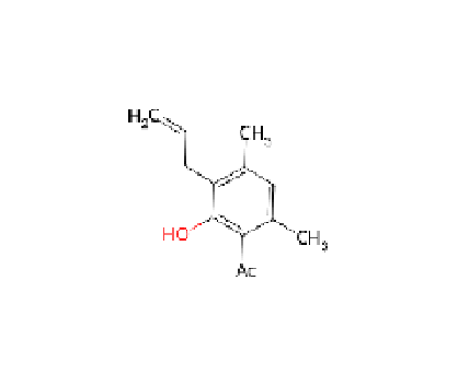 C=CCc1c(C)cc(C)c(C(C)=O)c1O